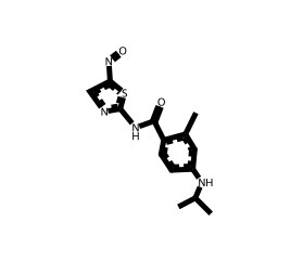 Cc1cc(NC(C)C)ccc1C(=O)Nc1ncc(N=O)s1